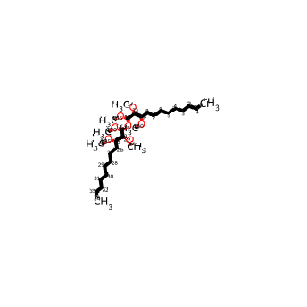 CCCCCCCCCC(OC)=C(OC)C(OC)OC(OC)C(OC)=C(CCCCCCCCC)OC